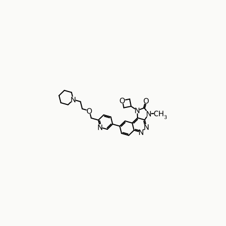 Cn1c(=O)n(C2COC2)c2c3cc(-c4ccc(COCCN5CCCCC5)nc4)ccc3nnc21